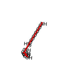 CNCCOCCOCCOCCOCCOCCOCCOCCOCCOCCOCCNC(=O)CCCCCCCNC(=O)CC[C@H](NC(=O)N[C@@H](CCC(=O)O)C(=O)O)C(=O)O